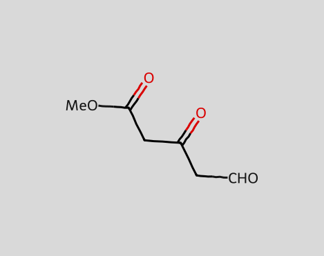 COC(=O)CC(=O)CC=O